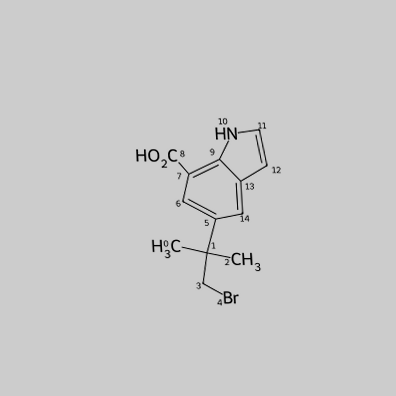 CC(C)(CBr)c1cc(C(=O)O)c2[nH]ccc2c1